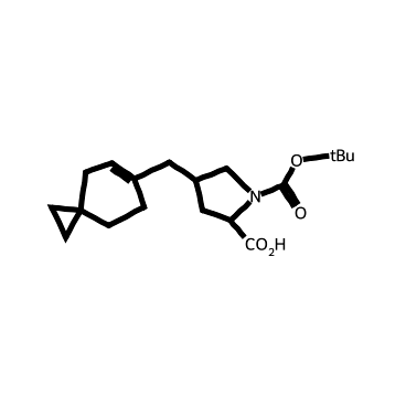 CC(C)(C)OC(=O)N1CC(CC2=CCC3(CC2)CC3)CC1C(=O)O